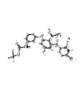 CC(C)(C)OC(=O)Nc1cccc(Oc2cc(F)cc(Nc3ccc(Br)cc3F)c2C(N)=O)c1